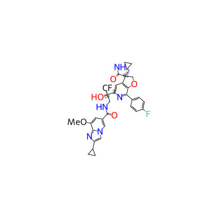 COc1cc(C(=O)NC[C@](O)(c2cc3c(c(-c4ccc(F)cc4)n2)OC[C@@]3(C(N)=O)C2CC2)C(F)(F)F)cn2cc(C3CC3)nc12